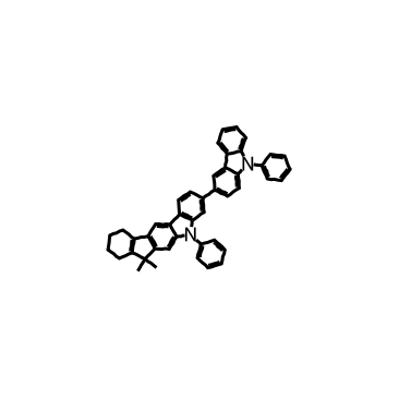 CC1(C)C2=C(CCCC2)c2cc3c4ccc(-c5ccc6c(c5)c5ccccc5n6-c5ccccc5)cc4n(-c4ccccc4)c3cc21